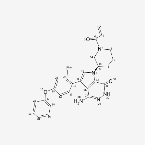 C=CC(=O)N1CCC[C@@H](n2cc(-c3ccc(Oc4ccccc4)cc3F)c3c(N)n[nH]c(=O)c32)C1